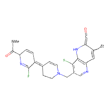 CCC1=Cc2ncc(CN3C=CC(=C4C=CC(C(=O)NC)N=C4F)CC3)c(F)c2NC1=C=O